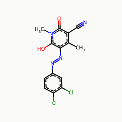 Cc1c(N=Nc2ccc(Cl)c(Cl)c2)c(O)n(C)c(=O)c1C#N